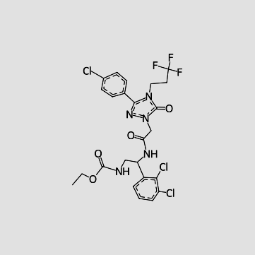 CCOC(=O)NCC(NC(=O)Cn1nc(-c2ccc(Cl)cc2)n(CCC(F)(F)F)c1=O)c1cccc(Cl)c1Cl